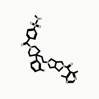 CNS(=O)(=O)c1ccc(C(=O)N2CCC(CCN3CC4CN(C(=O)c5c(C)ncnc5C)CC4C3)(c3cccc(F)c3)CC2)cc1